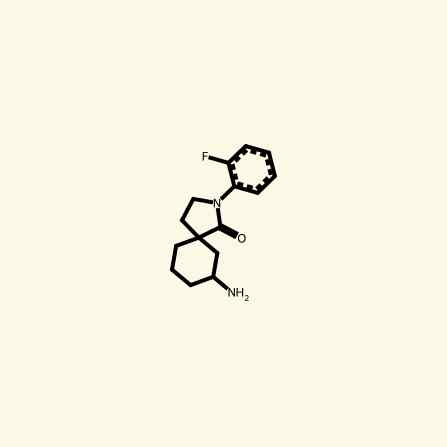 NC1CCCC2(CCN(c3ccccc3F)C2=O)C1